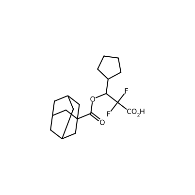 O=C(OC(C1CCCC1)C(F)(F)C(=O)O)C12CC3CC(CC(C3)C1)C2